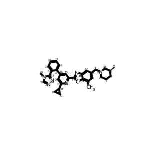 C[C@H]1CCCN(Cc2cc(C(F)(F)F)c3oc(-c4cc(-c5ccccc5-c5nncn5C)cc(C5CC5)n4)nc3c2)C1